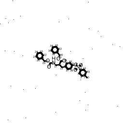 Cc1ccc(S(=O)(=O)Oc2ccc(CC(CNC(=O)OCc3ccccc3)C(=O)OCc3ccccc3)cc2)cc1